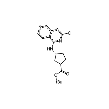 CC(C)(C)OC(=O)C1CC[C@@H](Nc2nc(Cl)nc3cnccc23)C1